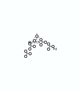 Cc1cc(C)c(Cc2ccc(C(C)(C)C)nc2C#N)c(C)c1.[Pd].c1ccc(P(c2ccccc2)c2ccccc2)cc1.c1ccc(P(c2ccccc2)c2ccccc2)cc1.c1ccc(P(c2ccccc2)c2ccccc2)cc1.c1ccc(P(c2ccccc2)c2ccccc2)cc1